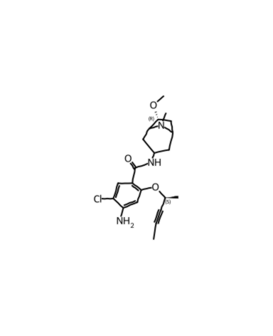 CC#C[C@H](C)Oc1cc(N)c(Cl)cc1C(=O)NC1CC2C[C@@H](OC)C(C1)N2C